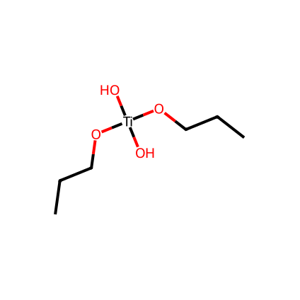 CCC[O][Ti]([OH])([OH])[O]CCC